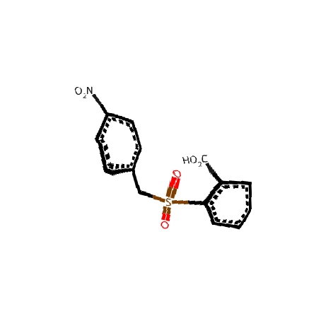 O=C(O)c1ccccc1S(=O)(=O)Cc1ccc([N+](=O)[O-])cc1